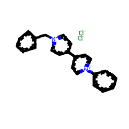 [Cl-].[Cl-].c1ccc(C[n+]2ccc(-c3cc[n+](-c4ccccc4)cc3)cc2)cc1